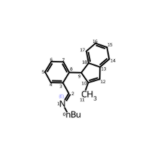 CCCC/N=C/c1ccccc1C1C(C)=Cc2ccccc21